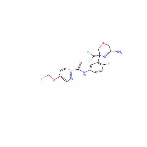 NC1=N[C@@](c2cc(NC(=O)c3ccc(OCF)cn3)ccc2F)(C(F)F)COC1